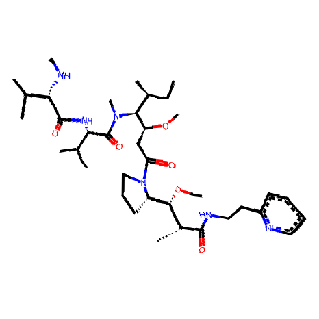 CC[C@H](C)[C@@H]([C@H](CC(=O)N1CCC[C@H]1[C@H](OC)[C@@H](C)C(=O)NCCc1ccccn1)OC)N(C)C(=O)[C@@H](NC(=O)[C@@H](NC)C(C)C)C(C)C